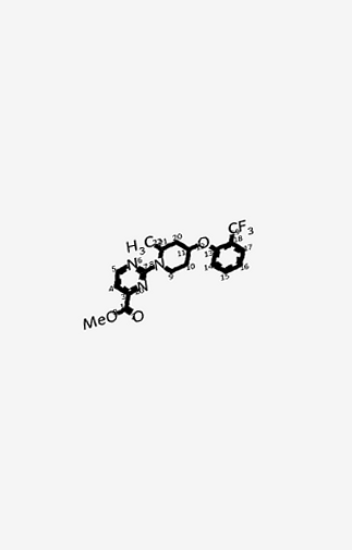 COC(=O)c1ccnc(N2CCC(Oc3ccccc3C(F)(F)F)CC2C)n1